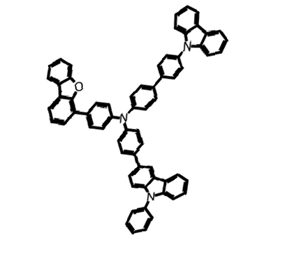 c1ccc(-n2c3ccccc3c3cc(-c4ccc(N(c5ccc(-c6ccc(-n7c8ccccc8c8ccccc87)cc6)cc5)c5ccc(-c6cccc7c6oc6ccccc67)cc5)cc4)ccc32)cc1